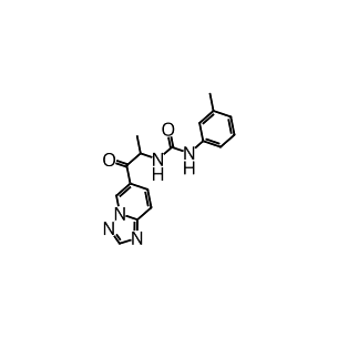 Cc1cccc(NC(=O)NC(C)C(=O)c2ccc3ncnn3c2)c1